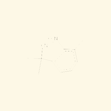 Cc1cccc(C(C)(C)C#N)c1[N+](=O)[O-]